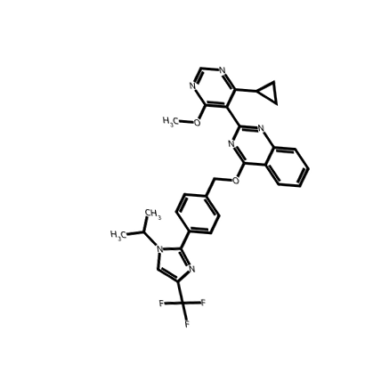 COc1ncnc(C2CC2)c1-c1nc(OCc2ccc(-c3nc(C(F)(F)F)cn3C(C)C)cc2)c2ccccc2n1